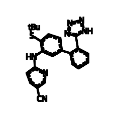 CC(C)(C)Sc1ccc(-c2ccccc2-c2nnn[nH]2)cc1Nc1ccc(C#N)cn1